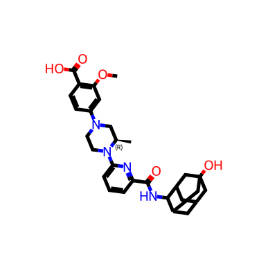 COc1cc(N2CCN(c3cccc(C(=O)NC4C5CC6CC4CC(O)(C6)C5)n3)[C@H](C)C2)ccc1C(=O)O